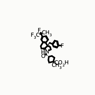 CC(F)(c1ccc2c(c1)CC[C@H]1N(C(=O)[C@H]3CC[C@](C)(C(=O)O)CC3)CC[C@@]21Cc1ccc(F)cc1)C(F)(F)F